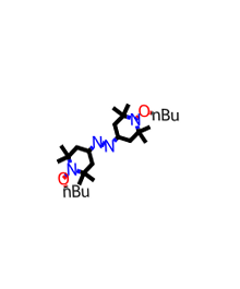 CCCCON1C(C)(C)CC(N=NC2CC(C)(C)N(OCCCC)C(C)(C)C2)CC1(C)C